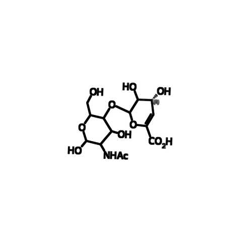 CC(=O)NC1C(O)OC(CO)C(OC2OC(C(=O)O)=C[C@@H](O)C2O)C1O